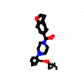 COc1ccccc1N1CCN(C(=O)c2ccc3occc3c2)CC1